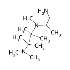 CC(CN)N(C)C(C)(C)C(C)(C)N(C)C